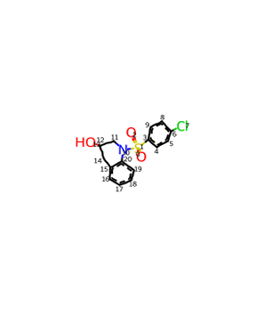 O=S(=O)(c1ccc(Cl)cc1)N1CC(O)Cc2ccccc21